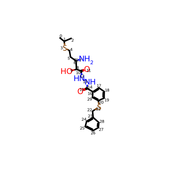 CC(C)SCC[C@@H](N)C(O)C(=O)NNC(=O)c1cccc(SCc2ccccc2)c1